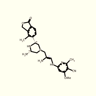 COc1cc(N/C=C(\N)CN2C[C@@H](c3ccc4c(c3C)COC4=O)N[C@@H](N)C2)nc(C)c1C#N